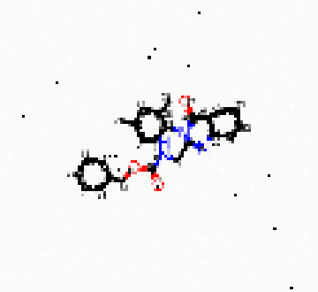 Cc1ccc(-n2c(CNC(=O)OCc3ccccc3)nc3ccccc3c2=O)c(C)c1